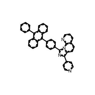 c1ccc(-c2c3ccccc3c(-c3ccc(-c4nc(-c5ccncc5)c5ccc6cccnc6n45)cc3)c3ccccc23)cc1